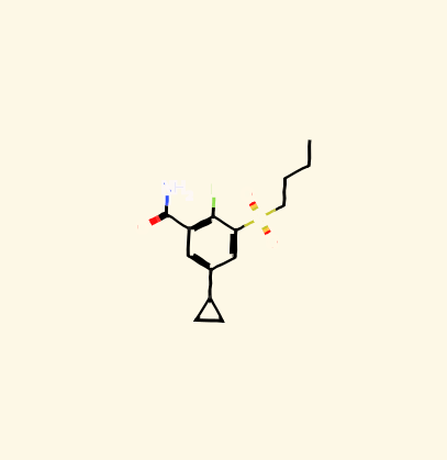 CCCCS(=O)(=O)c1cc(C2CC2)cc(C(N)=O)c1F